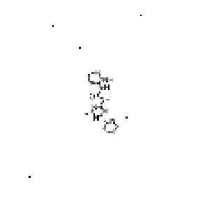 Cc1nc(NC(=O)c2n[nH]c3ncccc23)nc(-c2ccccn2)n1